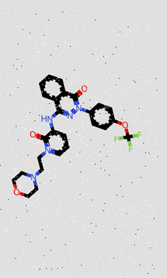 O=c1c(Nc2nn(-c3ccc(OC(F)(F)F)cc3)c(=O)c3ccccc23)cccn1CCN1CCOCC1